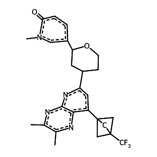 Cc1nc2nc(C3CCOC(c4ccc(=O)n(C)c4)C3)cc(C34CC(C(F)(F)F)(C3)C4)c2nc1C